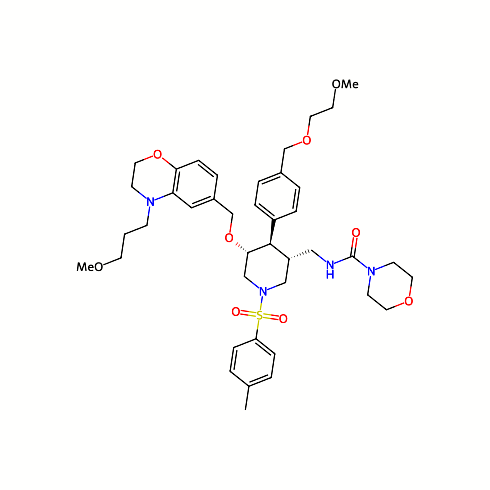 COCCCN1CCOc2ccc(CO[C@H]3CN(S(=O)(=O)c4ccc(C)cc4)C[C@@H](CNC(=O)N4CCOCC4)[C@@H]3c3ccc(COCCOC)cc3)cc21